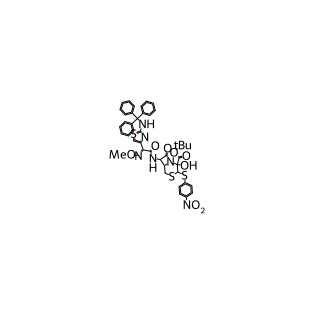 CON=C(C(=O)NC1C(=O)N2C1CSC(Sc1ccc([N+](=O)[O-])cc1)C2(O)C(=O)OC(C)(C)C)c1csc(NC(c2ccccc2)(c2ccccc2)c2ccccc2)n1